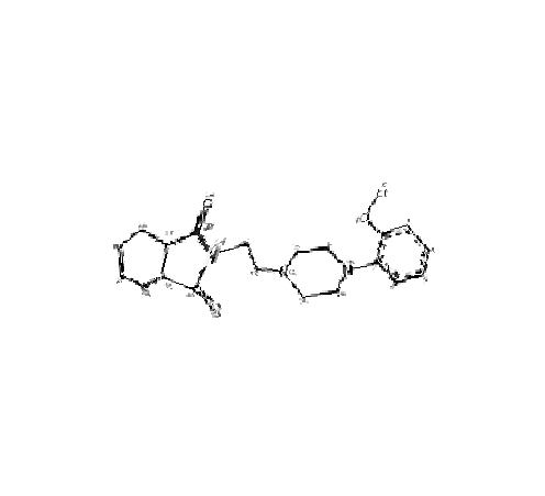 CCOc1ccccc1N1CCN(CCN2C(=O)C3CC=CCC3C2=O)CC1